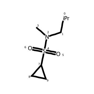 CC(C)CN(C)S(=O)(=O)C1CC1